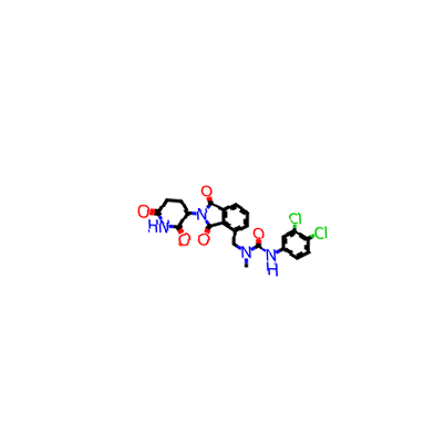 CN(Cc1cccc2c1C(=O)N(C1CCC(=O)NC1=O)C2=O)C(=O)Nc1ccc(Cl)c(Cl)c1